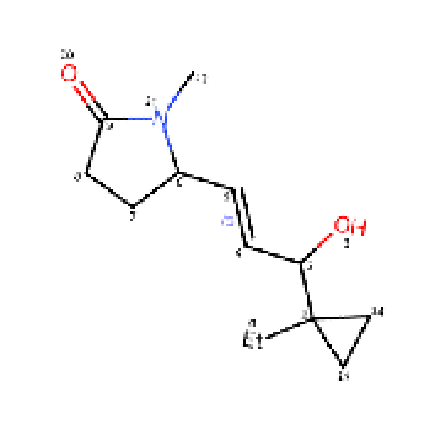 CCC1(C(O)/C=C/C2CCC(=O)N2C)CC1